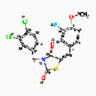 COc1ccc(C=C2SC(=O)N(Cc3ccc(Cl)c(Cl)c3)C2=O)cc1F